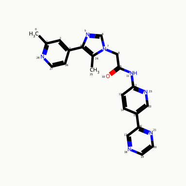 Cc1cc(-c2ncn(CC(=O)Nc3ccc(-c4cnccn4)cn3)c2C)ccn1